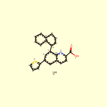 O=C(O)c1ccc2cc(-c3cccs3)cc(-c3cccc4ccccc34)c2n1.[LiH]